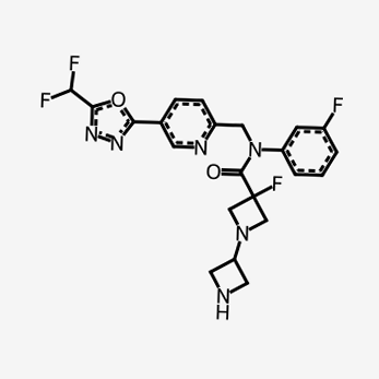 O=C(N(Cc1ccc(-c2nnc(C(F)F)o2)cn1)c1cccc(F)c1)C1(F)CN(C2CNC2)C1